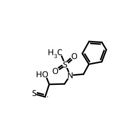 CS(=O)(=O)N(Cc1ccccc1)CC(O)[C]=S